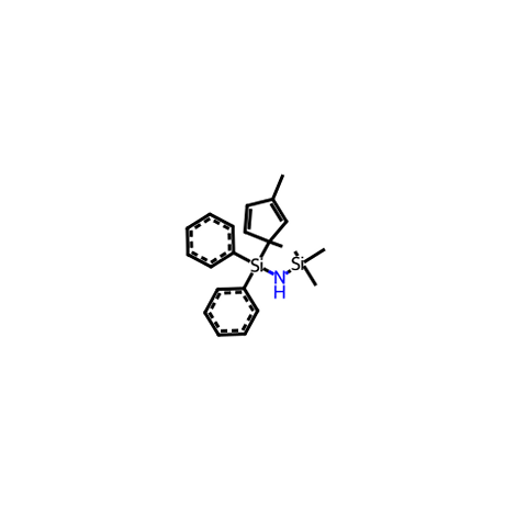 CC1=CC(C)([Si](N[Si](C)(C)C)(c2ccccc2)c2ccccc2)C=C1